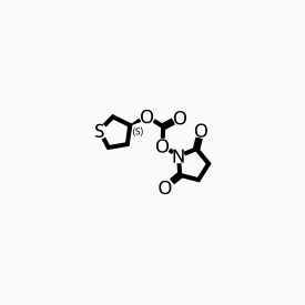 O=C(O[C@H]1CCSC1)ON1C(=O)CCC1=O